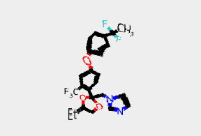 CCC1COC(Cn2ccnc2)(c2ccc(Oc3ccc(C(C)(F)F)cc3)cc2C(F)(F)F)O1